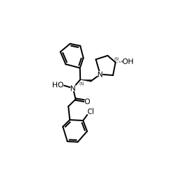 O=C(Cc1ccccc1Cl)N(O)[C@H](CN1CC[C@H](O)C1)c1ccccc1